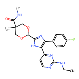 CC(C)NC(=O)C1(C)COC(c2nc(-c3ccc(F)cc3)c(-c3ccnc(NCC#N)n3)[nH]2)OC1